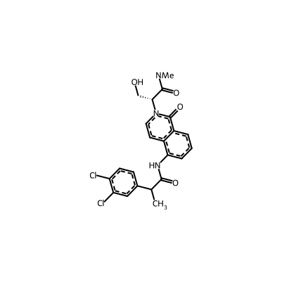 CNC(=O)[C@@H](CO)n1ccc2c(NC(=O)C(C)c3ccc(Cl)c(Cl)c3)cccc2c1=O